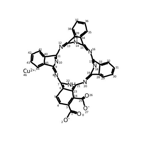 O=C([O-])c1ccc2c3nc4nc(nc5[nH]c(nc6nc(nc([nH]3)c2c1C(=O)[O-])-c1ccccc1-6)c1ccccc51)-c1ccccc1-4.[Cu+2]